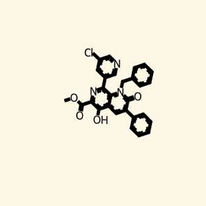 COC(=O)c1nc(-c2cncc(Cl)c2)c2c(cc(-c3ccccc3)c(=O)n2Cc2ccccc2)c1O